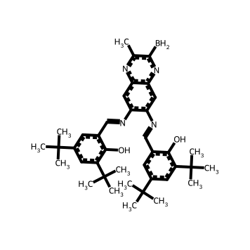 Bc1nc2cc(/N=C/c3cc(C(C)(C)C)cc(C(C)(C)C)c3O)c(/N=C/c3cc(C(C)(C)C)cc(C(C)(C)C)c3O)cc2nc1C